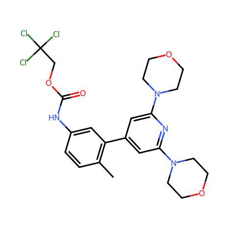 Cc1ccc(NC(=O)OCC(Cl)(Cl)Cl)cc1-c1cc(N2CCOCC2)nc(N2CCOCC2)c1